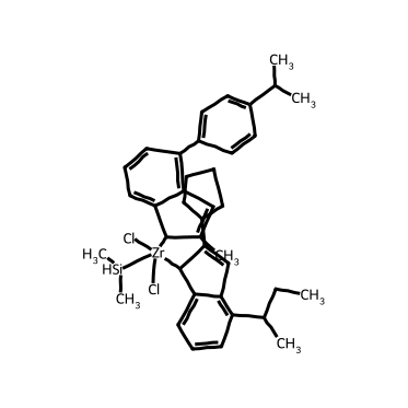 CCC(C)c1cccc2c1C=C(C1CCCC1)[CH]2[Zr]([Cl])([Cl])([CH]1C(C)=Cc2c(-c3ccc(C(C)C)cc3)cccc21)[SiH](C)C